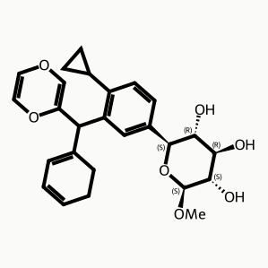 CO[C@H]1O[C@@H](c2ccc(C3CC3)c(C(C3=CC=CCC3)C3=COC=CO3)c2)[C@H](O)[C@@H](O)[C@@H]1O